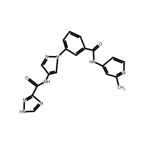 Cc1cc(NC(=O)c2cccc(-n3cc(NC(=O)c4nc[nH]n4)cn3)c2)ccn1